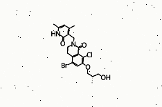 Cc1cc(C)c(CN2CCc3c(Br)cc(OC[C@@H](C)CO)c(Cl)c3C2=O)c(=O)[nH]1